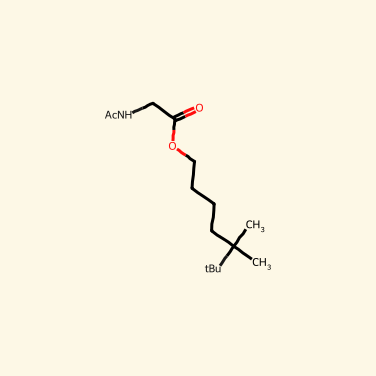 CC(=O)NCC(=O)OCCCCC(C)(C)C(C)(C)C